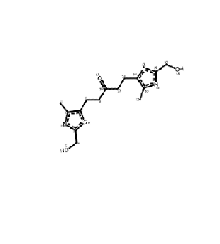 Cc1nc(CO)sc1CCC(=O)CCc1sc(CO)nc1C